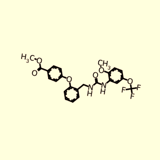 COC(=O)c1ccc(Oc2ccccc2CNC(=O)Nc2cc(OC(F)(F)F)ccc2OC)cc1